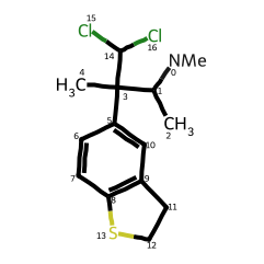 CNC(C)C(C)(c1ccc2c(c1)CCS2)C(Cl)Cl